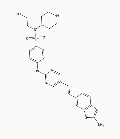 Nc1nc2ccc(/C=C/c3cnc(Nc4ccc(S(=O)(=O)N(CCO)C5CCNCC5)cc4)nc3)cc2s1